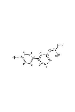 Fc1ccc(-c2[c]ccc(OC(F)F)c2)cc1